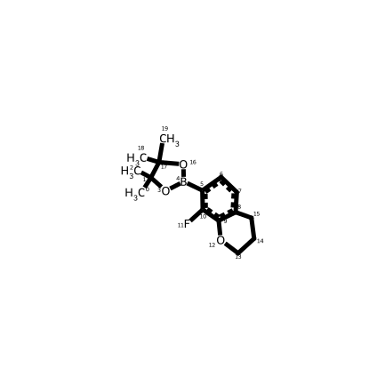 CC1(C)OB(c2ccc3c(c2F)OCCC3)OC1(C)C